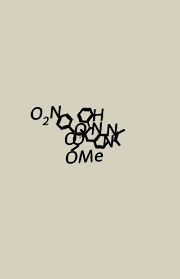 COCCO[C@@]1(OC(=O)c2ccc([N+](=O)[O-])cc2)Cc2ccn3c(C)c(C)nc3c2N[C@@H]1c1ccccc1